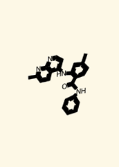 Cc1ccc(C(=O)Nc2ccccc2)c(Nc2ccnc3nc(C)ccc23)c1